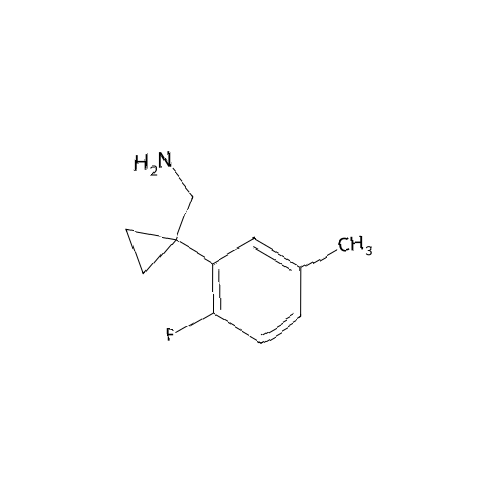 Cc1ccc(F)c(C2(CN)CC2)c1